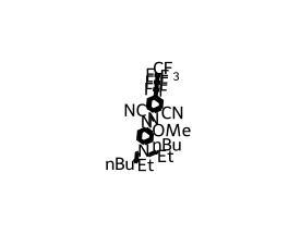 CCCCC(CC)CN(CC(CC)CCCC)c1ccc(N=Nc2c(C#N)cc(C(F)(F)C(F)(F)C(F)(F)C(F)(F)F)cc2C#N)c(OC)c1